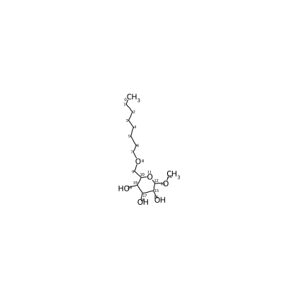 CCCCCCCCOCC1OC(OC)C(O)C(O)C1O